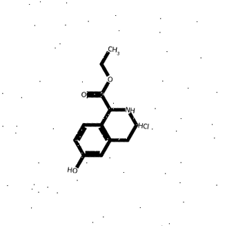 CCOC(=O)C1NCCc2cc(O)ccc21.Cl